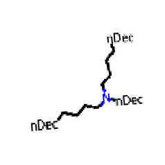 CCCCCCCCCCCCCCN(CCCCCCCCCC)CCCCCCCCCCCCCC